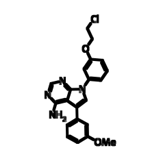 COc1cccc(-c2cn(-c3cccc(OCCCl)c3)c3ncnc(N)c23)c1